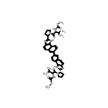 COC(=O)N[C@H](C(=O)N1CCCC1c1nc2ccc3cc(-c4ccc5c(ccc6nc([C@@H]7CCCN7C(=O)[C@@H](NC(=O)OC)C(C)C)[nH]c65)c4)ccc3c2[nH]1)C(C)C